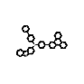 c1ccc(-c2ccc(N(c3ccc(-c4ccc5c6ccccc6c6ccccc6c5c4)cc3)c3ccc4sc5ccccc5c4c3)cc2)cc1